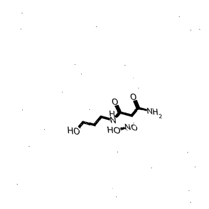 NC(=O)CC(=O)NCCCO.O=NO